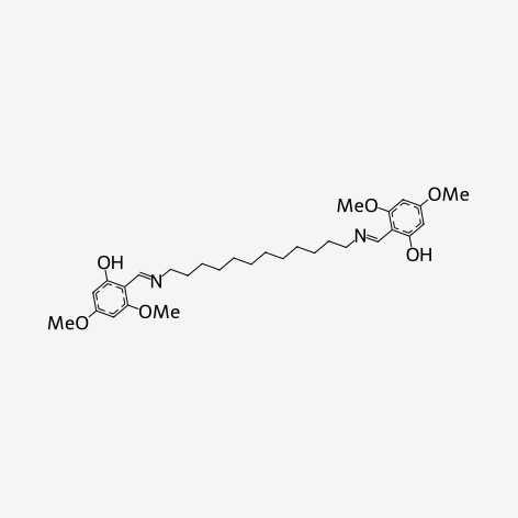 COc1cc(O)c(/C=N/CCCCCCCCCCCC/N=C/c2c(O)cc(OC)cc2OC)c(OC)c1